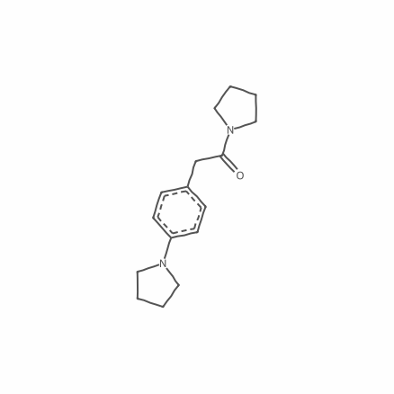 O=C(Cc1ccc(N2CCCC2)cc1)N1CCCC1